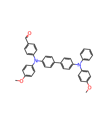 COc1ccc(N(c2ccccc2)c2ccc(-c3ccc(N(c4ccc(C=O)cc4)c4ccc(OC)cc4)cc3)cc2)cc1